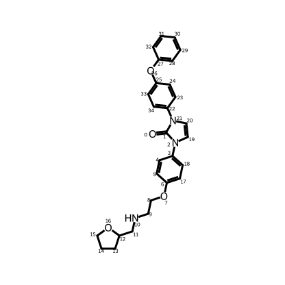 O=c1n(-c2ccc(OCCNCC3CCCO3)cc2)ccn1-c1ccc(Oc2ccccc2)cc1